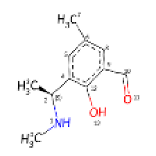 CN[C@@H](C)c1cc(C)cc(C=O)c1O